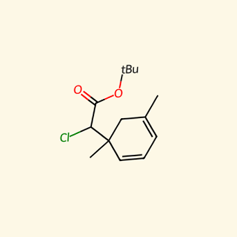 CC1=CC=CC(C)(C(Cl)C(=O)OC(C)(C)C)C1